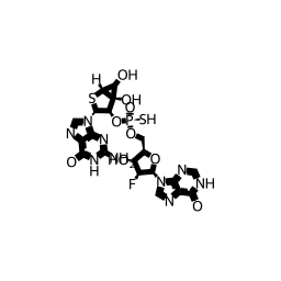 Nc1nc2c(ncn2[C@@H]2S[C@@H]3C(O)[C@]3(O)[C@H]2O[P@](=O)(S)OC[C@H]2O[C@@H](n3cnc4c(=O)[nH]cnc43)[C@@H](F)[C@@H]2O)c(=O)[nH]1